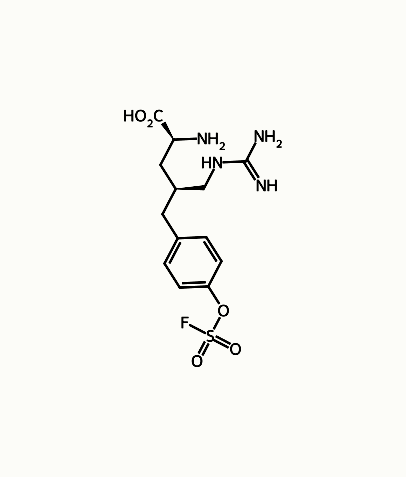 N=C(N)NC[C@@H](Cc1ccc(OS(=O)(=O)F)cc1)C[C@H](N)C(=O)O